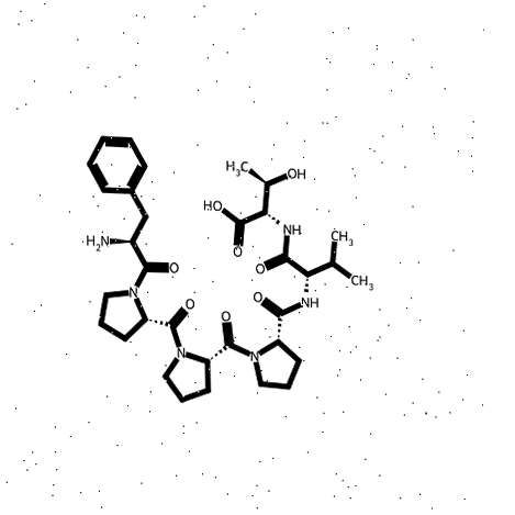 CC(C)[C@H](NC(=O)[C@@H]1CCCN1C(=O)[C@@H]1CCCN1C(=O)[C@@H]1CCCN1C(=O)[C@@H](N)Cc1ccccc1)C(=O)N[C@H](C(=O)O)[C@@H](C)O